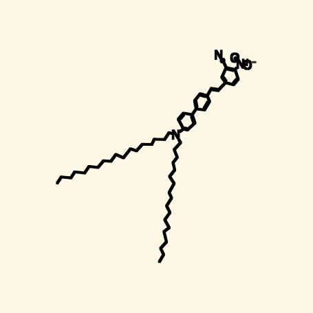 CCCCCCCCCCCCCCCCCCN(CCCCCCCCCCCCCCCCCC)c1ccc(-c2ccc(C=Cc3ccc([N+](=O)[O-])c(C#N)c3)cc2)cc1